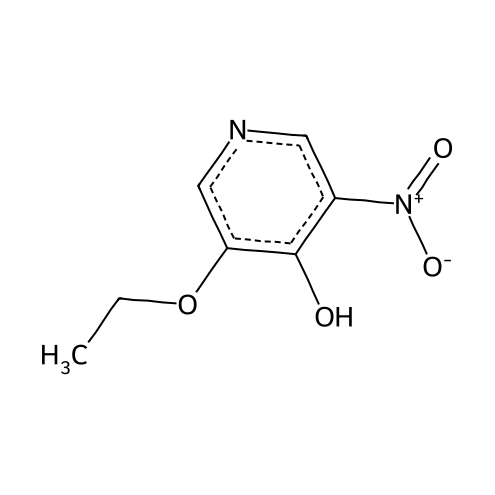 CCOc1cncc([N+](=O)[O-])c1O